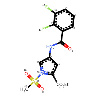 CCOC(=O)c1cc(NC(=O)c2cccc(F)c2F)cn1S(C)(=O)=O